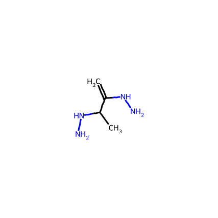 C=C(NN)C(C)NN